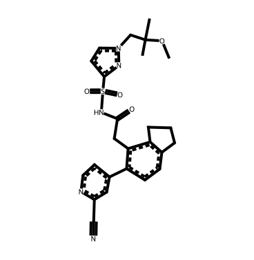 COC(C)(C)Cn1ccc(S(=O)(=O)NC(=O)Cc2c(-c3ccnc(C#N)c3)ccc3c2CCC3)n1